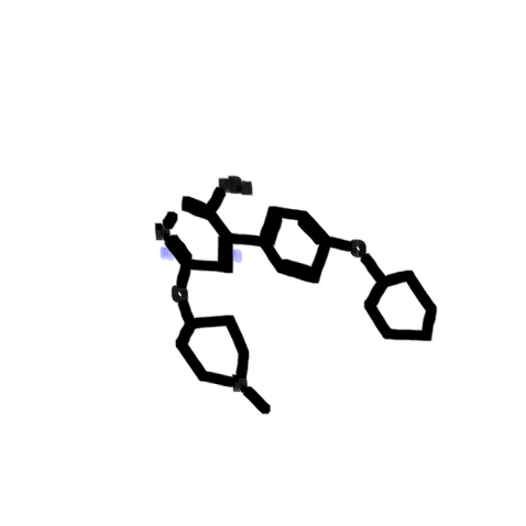 C=C(CCCC)/C(=C\C(=N/C)OC1CCN(C)CC1)c1ccc(OC2CCCCC2)cc1